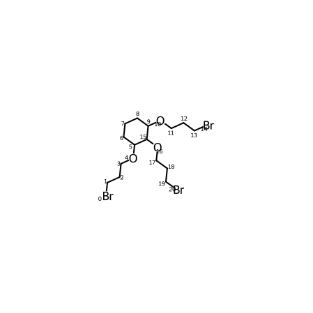 BrCCCOC1CCCC(OCCCBr)C1OCCCBr